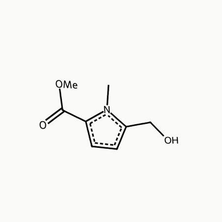 COC(=O)c1ccc(CO)n1C